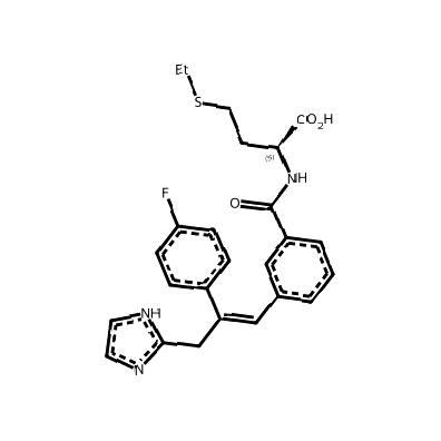 CCSCC[C@H](NC(=O)c1cccc(C=C(Cc2ncc[nH]2)c2ccc(F)cc2)c1)C(=O)O